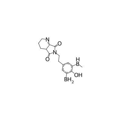 Bc1cc(CCN2C(=O)C3=NCCCC3C2=O)cc(BC)c1O